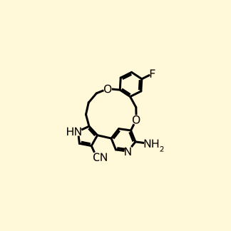 N#Cc1c[nH]c2c1-c1cnc(N)c(c1)OCc1cc(F)ccc1OCCC2